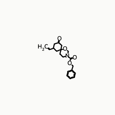 C=CC1CC(=O)CC2(CCN(C(=O)OCc3ccccc3)CO2)C1